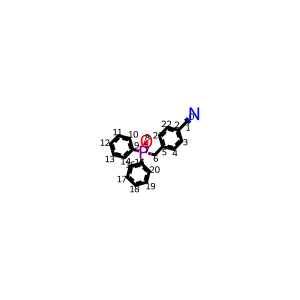 N#Cc1ccc(CP(=O)(c2ccccc2)c2ccccc2)cc1